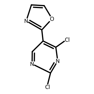 Clc1ncc(-c2ncco2)c(Cl)n1